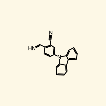 N#Cc1cc(-n2c3ccccc3c3ccccc32)ccc1C=N